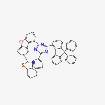 C1=CC2N=C(c3ccc4oc5cccc(-c6nc(-c7ccccc7)nc(-c7cccc8c7-c7ccccc7C8(c7ccccc7)c7ccccc7)n6)c5c4c3)SC2C=C1